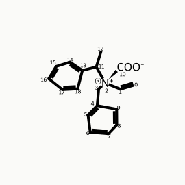 C=C[N@@+](Cc1ccccc1)(C(=O)[O-])C(C)c1ccccc1